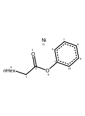 CCCCCCCC(=O)Oc1ccccc1.[Ni]